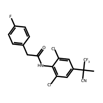 CC(C#N)(c1cc(Cl)c(NC(=O)Cc2ccc(F)cc2)c(Cl)c1)C(F)(F)F